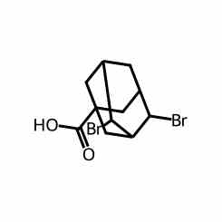 O=C(O)C12CC3CC(C1)C(Br)C(C2)C3Br